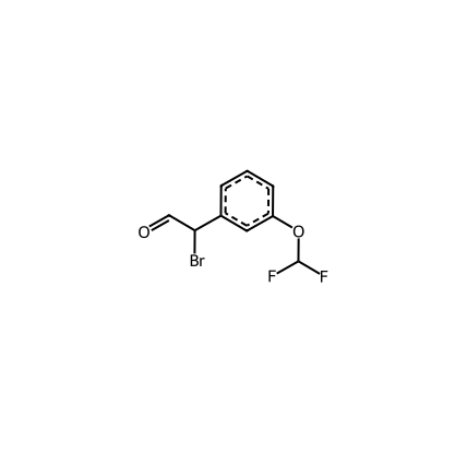 O=CC(Br)c1cccc(OC(F)F)c1